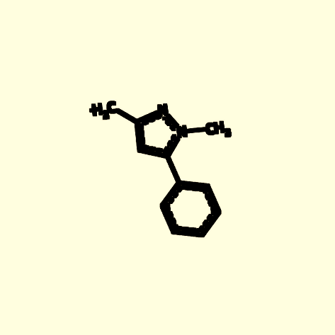 [CH2]c1cc(-c2ccccc2)n(C)n1